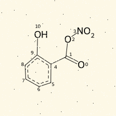 O=C(O[N+](=O)[O-])c1ccccc1O